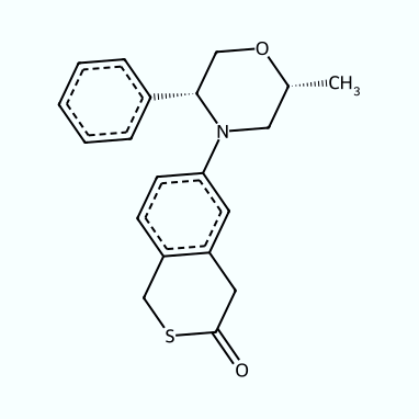 C[C@@H]1CN(c2ccc3c(c2)CC(=O)SC3)[C@H](c2ccccc2)CO1